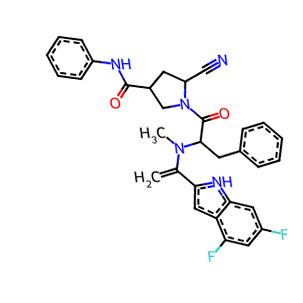 C=C(c1cc2c(F)cc(F)cc2[nH]1)N(C)C(Cc1ccccc1)C(=O)N1CC(C(=O)Nc2ccccc2)CC1C#N